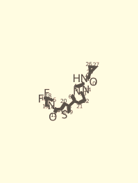 O=C(Nc1cn2cc(-c3csc(C(=O)N4CC(F)(F)C4)c3)ccc2n1)C1CC1